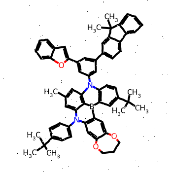 Cc1cc2c3c(c1)N(c1ccc(C(C)(C)C)cc1)c1cc4c(cc1B3c1cc(C(C)(C)C)ccc1N2c1cc(-c2ccc3c(c2)C(C)(C)c2ccccc2-3)cc(-c2cc3ccccc3o2)c1)OCCCO4